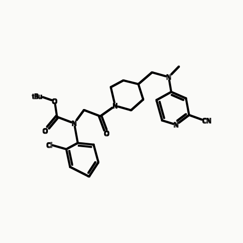 CN(CC1CCN(C(=O)CN(C(=O)OC(C)(C)C)c2ccccc2Cl)CC1)c1ccnc(C#N)c1